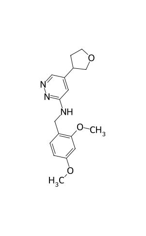 COc1ccc(CNc2cc(C3CCOC3)cnn2)c(OC)c1